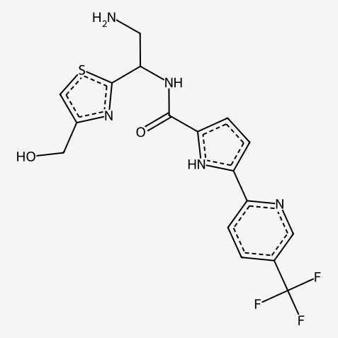 NCC(NC(=O)c1ccc(-c2ccc(C(F)(F)F)cn2)[nH]1)c1nc(CO)cs1